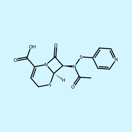 CC(=O)N(Sc1ccncc1)[C@@H]1C(=O)N2C(C(=O)O)=CCS[C@H]12